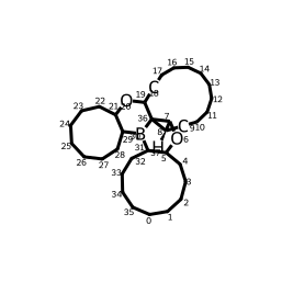 C1CCCCC2OC3[C@@H]4CCCCCCCCCCC5OC6CCCCCCCC6B(C2CCCC1)C534